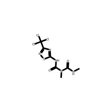 CNC(=O)N(C)C(=O)Nc1nc(C(Cl)(Cl)Cl)ns1